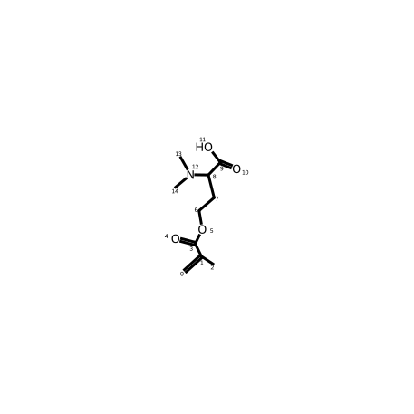 C=C(C)C(=O)OCCC(C(=O)O)N(C)C